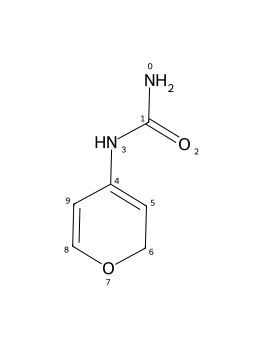 NC(=O)NC1=CCOC=C1